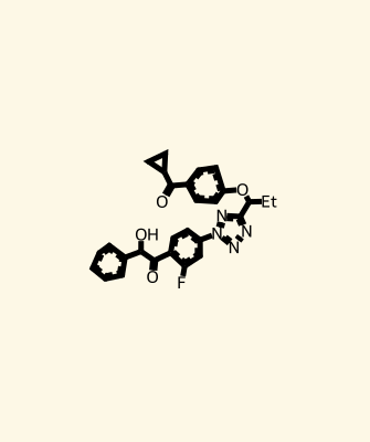 CCC(Oc1ccc(C(=O)C2CC2)cc1)c1nnn(-c2ccc(C(=O)C(O)c3ccccc3)c(F)c2)n1